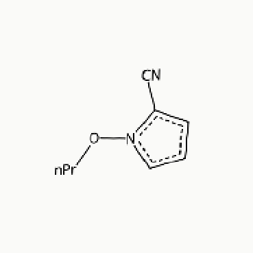 CCCOn1cccc1C#N